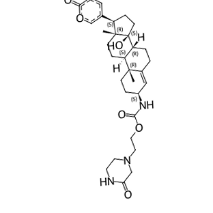 C[C@]12CC[C@H](NC(=O)OCCN3CCNC(=O)C3)C=C1CC[C@@H]1[C@@H]2CC[C@]2(C)[C@@H](c3ccc(=O)oc3)CC[C@]12O